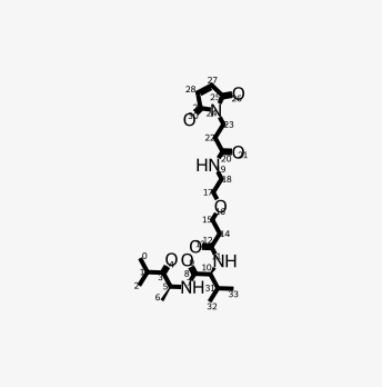 CC(C)C(=O)[C@H](C)NC(=O)[C@@H](NC(=O)CCOCCNC(=O)CCN1C(=O)C=CC1=O)C(C)C